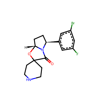 O=C1N2[C@@H](CC[C@H]2c2cc(F)cc(Br)c2)OC12CCNCC2